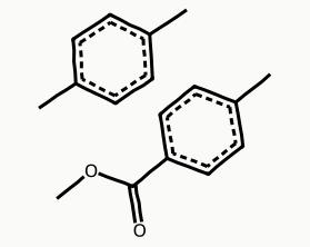 COC(=O)c1ccc(C)cc1.Cc1ccc(C)cc1